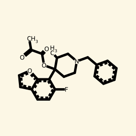 CC(=O)C(=O)OC1(c2c(F)ccc3ccoc23)CCN(Cc2ccccc2)CC1C